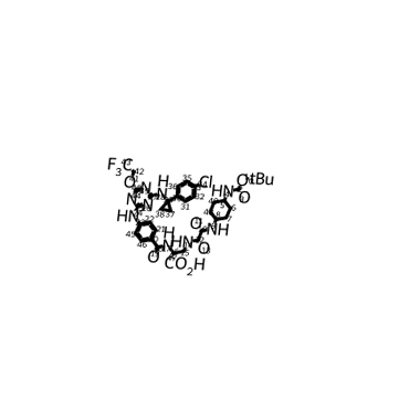 CC(C)(C)OC(=O)NC1CCC(NC(=O)C(=O)NC[C@H](NC(=O)c2ccc(Nc3nc(NC4(c5ccc(Cl)cc5)CC4)nc(OCC(F)(F)F)n3)cc2)C(=O)O)CC1